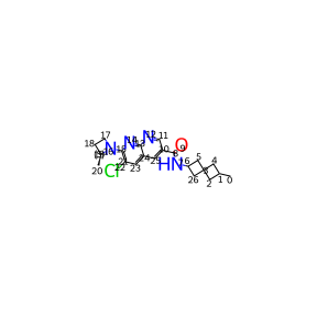 CC1CC2(C1)CC(NC(=O)c1cnc3nc(N4CC[C@@H]4C)c(Cl)cc3c1)C2